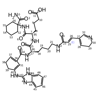 NC(=O)C1(NC(=O)[C@@H](CCCC(=O)O)NC(=O)[C@@H](CCCCNC(=O)/C=C/C2=CCCN=C2)NC(=O)C2=CCCC(Nc3nc4ccccc4[nH]3)=C2)CCCCC1